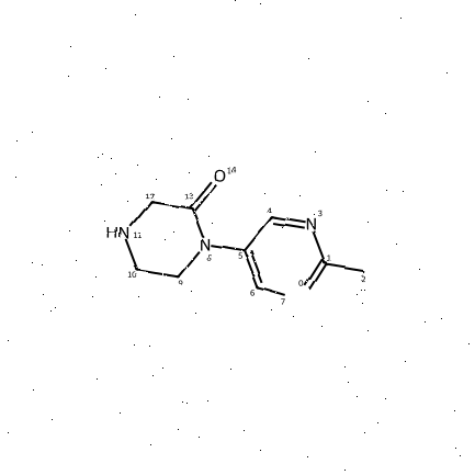 C=C(C)/N=C\C(=C/C)N1CCNCC1=O